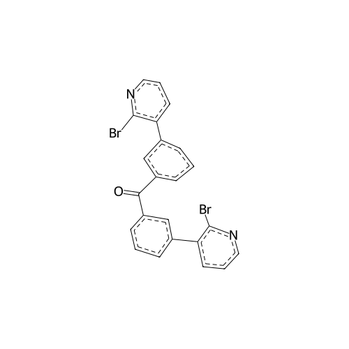 O=C(c1cccc(-c2cccnc2Br)c1)c1cccc(-c2cccnc2Br)c1